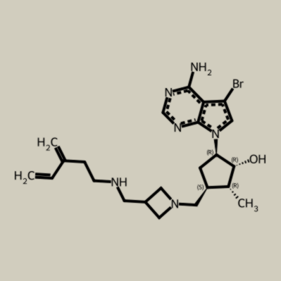 C=CC(=C)CCNCC1CN(C[C@H]2C[C@@H](n3cc(Br)c4c(N)ncnc43)[C@H](O)[C@@H]2C)C1